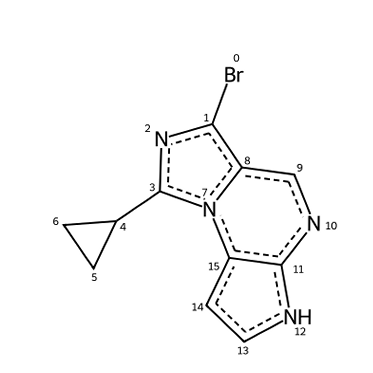 Brc1nc(C2CC2)n2c1cnc1[nH]ccc12